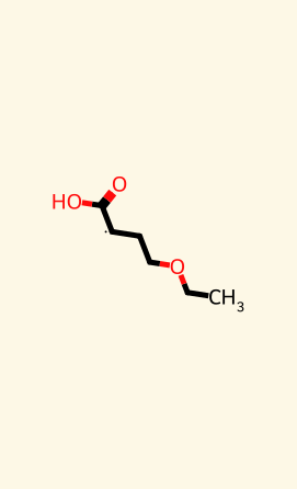 CCOCC[CH]C(=O)O